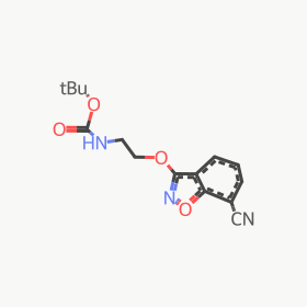 CC(C)(C)OC(=O)NCCOc1noc2c(C#N)cccc12